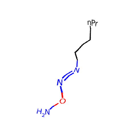 CCCCCN=NON